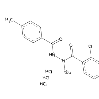 Cc1ccc(C(=O)NN(C(=O)c2ccccc2Cl)C(C)(C)C)cc1.Cl.Cl.Cl